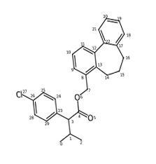 CC(C)C(C(=O)OCc1cccc2c1CCCc1ccccc1-2)c1ccc(Cl)cc1